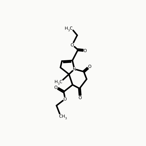 CCOC(=O)C1=CCC2(C)C(C(=O)OCC)C(=O)CC(=O)N12